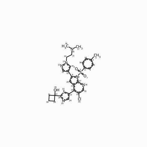 Cc1ccc(S(=O)(=O)n2c(-c3cnn(CCN(C)C)c3)cc3c(-c4cnc(C5(O)CCC5)s4)c(Cl)cnc32)cc1